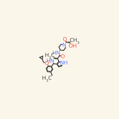 CCc1ccc(OCC2CC2)c(C2NC(C)=C(C(=O)NC3CCN(C(=O)[C@H](C)O)CC3)c3[nH]ccc32)c1